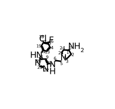 NC1CCN(CCNc2cc(Nc3ccc(F)c(Cl)c3)ncn2)CC1